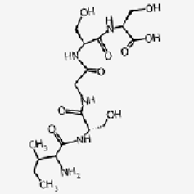 CCC(C)C(N)C(=O)N[C@@H](CO)C(=O)NCC(=O)N[C@@H](CO)C(=O)N[C@@H](CO)C(=O)O